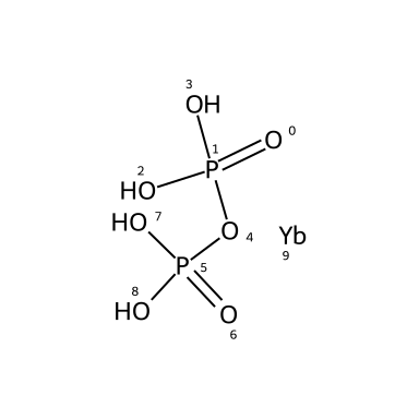 O=P(O)(O)OP(=O)(O)O.[Yb]